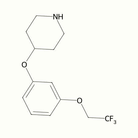 FC(F)(F)COc1cccc(OC2CCNCC2)c1